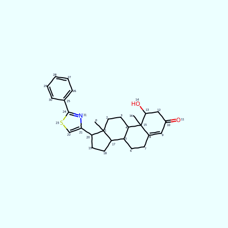 CC12CCC3C(CCC4=CC(=O)CC(O)C43C)C1CCC2c1csc(-c2ccccc2)n1